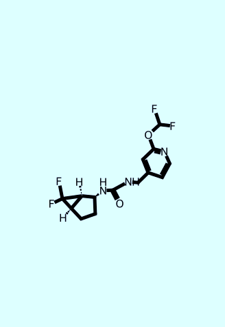 O=C(NCc1ccnc(OC(F)F)c1)N[C@@H]1CC[C@@H]2[C@H]1C2(F)F